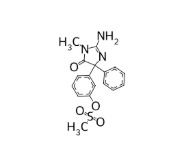 CN1C(=O)C(c2ccccc2)(c2cccc(OS(C)(=O)=O)c2)N=C1N